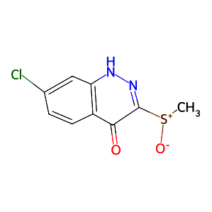 C[S+]([O-])c1n[nH]c2cc(Cl)ccc2c1=O